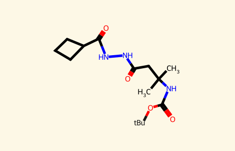 CC(C)(CC(=O)NNC(=O)C1CCC1)NC(=O)OC(C)(C)C